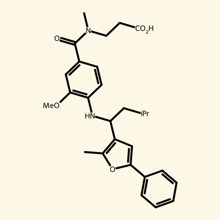 COc1cc(C(=O)N(C)CCC(=O)O)ccc1NC(CC(C)C)c1cc(-c2ccccc2)oc1C